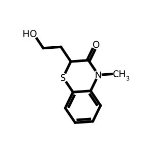 CN1C(=O)C(CCO)Sc2ccccc21